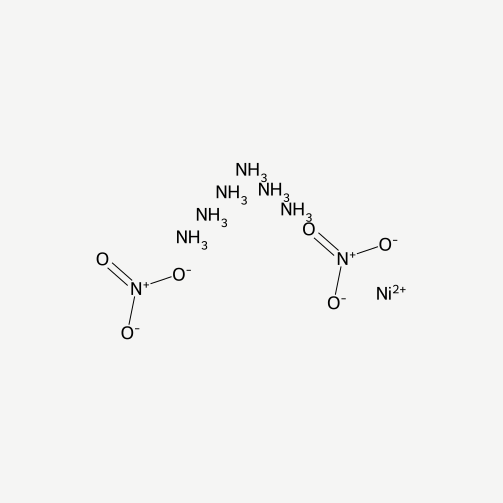 N.N.N.N.N.N.O=[N+]([O-])[O-].O=[N+]([O-])[O-].[Ni+2]